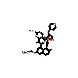 COCOc1cc(-c2nc(N3CCC3Cc3ccncc3)c3cnc(SC)nc3c2F)c2c(C#C[Si](C(C)C)(C(C)C)C(C)C)c(F)ccc2c1